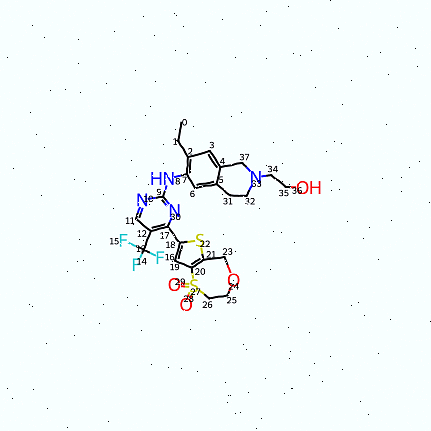 CCc1cc2c(cc1Nc1ncc(C(F)(F)F)c(-c3cc4c(s3)COCCS4(=O)=O)n1)CCN(CCO)C2